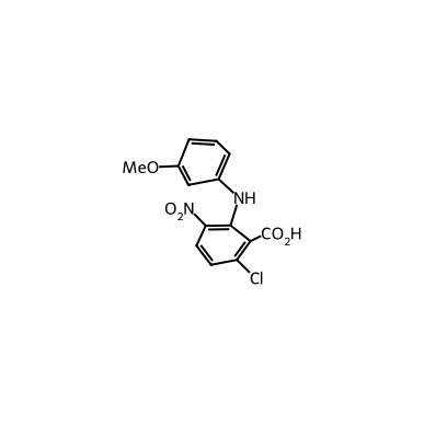 COc1cccc(Nc2c([N+](=O)[O-])ccc(Cl)c2C(=O)O)c1